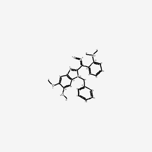 COc1cc2nc(C(=S=O)c3ccccc3N(C)C)n(Cc3ccccc3)c2cc1OC